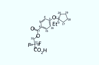 CCC1(Oc2ccc(C(=O)OCC(F)(F)C(=O)O)cc2)CCCC1